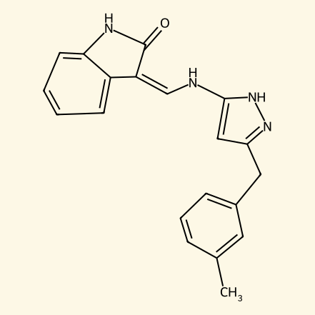 Cc1cccc(Cc2cc(NC=C3C(=O)Nc4ccccc43)[nH]n2)c1